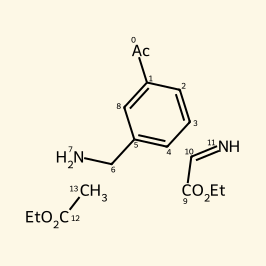 CC(=O)c1cccc(CN)c1.CCOC(=O)C=N.CCOC(C)=O